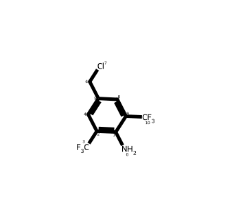 Nc1c(C(F)(F)F)cc(CCl)cc1C(F)(F)F